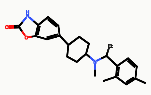 CCC(c1ccc(C)cc1C)N(C)C1CCC(c2ccc3[nH]c(=O)oc3c2)CC1